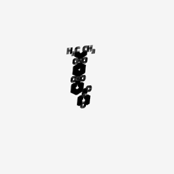 CCC(CC)S(=O)(=O)c1ccc(S(=O)(=O)N2CCC[C@@H](C(=O)N3CCOCC3)C2)cc1